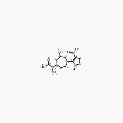 Cn1ncc([N+](=O)[O-])c1N1CCC(N(N)C(=O)O)CC(O)C1